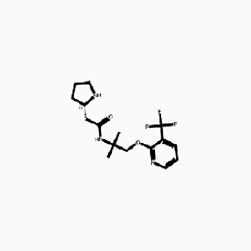 CC(C)(COc1ncccc1C(F)(F)F)NC(=O)C[C@@H]1CCCN1